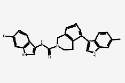 O=C(Nc1c[nH]c2cc(F)ccc12)N1CCc2c(cccc2-c2c[nH]c3cc(F)ccc23)C1